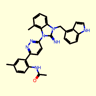 CC(=O)Nc1ccc(C)cc1-c1ccc(-n2c(=N)n(Cc3cccc4[nH]ccc34)c3cccc(C)c32)nn1